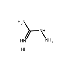 I.N=C(N)NN